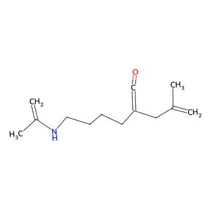 C=C(C)CC(=C=O)CCCCNC(=C)C